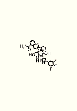 NC(=O)c1cccc2nc([C@H]3CCO[C@]34O[C@H](CO)[C@H](O)[C@H](n3cc(-c5cc(F)c(F)c(F)c5)nn3)[C@H]4O)ccc12